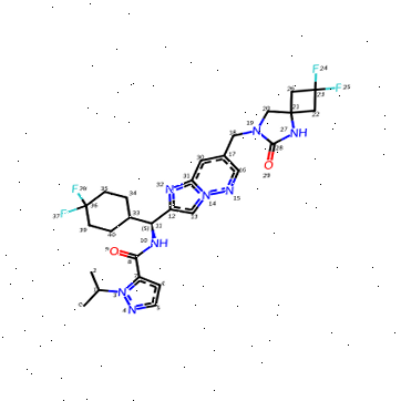 CC(C)n1nccc1C(=O)N[C@H](c1cn2ncc(CN3CC4(CC(F)(F)C4)NC3=O)cc2n1)C1CCC(F)(F)CC1